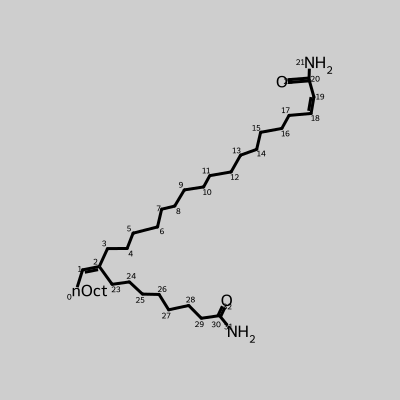 CCCCCCCC/C=C(/CCCCCCCCCCCCCCC/C=C\C(N)=O)CCCCCCCC(N)=O